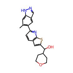 Cc1cc2[nH]ncc2cc1-c1ccc2cc(C(O)C3CCOCC3)sc2n1